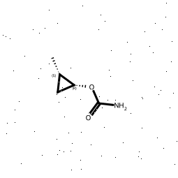 C[C@H]1C[C@H]1OC(N)=O